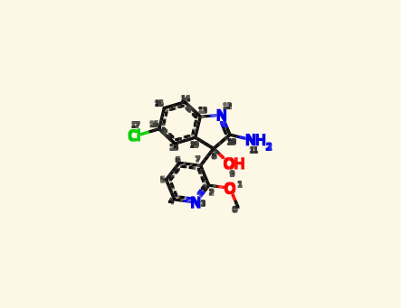 COc1ncccc1C1(O)C(N)=Nc2ccc(Cl)cc21